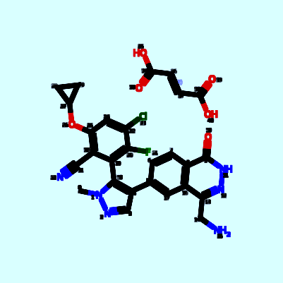 Cn1ncc(-c2ccc3c(=O)[nH]nc(CN)c3c2)c1-c1c(F)c(Cl)cc(OC2CC2)c1C#N.O=C(O)/C=C/C(=O)O